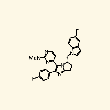 CNc1nccc(-c2c(-c3ccc(F)cc3)nc3n2[C@H](Cn2ccc4cc(F)ccc42)CC3)n1